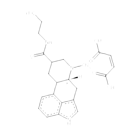 CCCNC(=O)C1CC2c3cccc4[nH]cc(c34)C[C@H]2N(C)C1.O=C(O)/C=C\C(=O)O